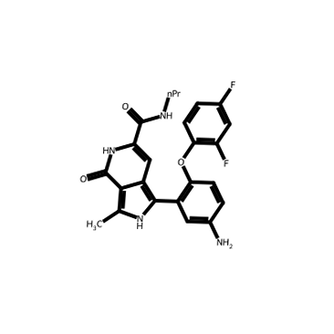 CCCNC(=O)c1cc2c(-c3cc(N)ccc3Oc3ccc(F)cc3F)[nH]c(C)c2c(=O)[nH]1